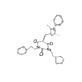 Cc1cc(C=C2C(=O)N(CCc3ccccc3)C(=O)N(CCc3ccccc3)C2=O)c(C)n1-c1ccccc1